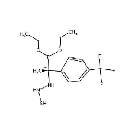 CCOP(OCC)[C@@](C)(NNS)c1ccc(C(F)(F)F)cc1